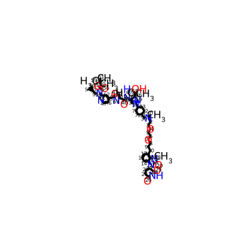 CN(CCOCCOCCCc1cccc2c1n(C)c(=O)n2C1CCC(=O)NC1=O)CC1CCC(n2cc(NC(=O)c3coc(-c4ccnc(N(CC5CC5)C(=O)OC(C)(C)C)c4)n3)c(C(C)(C)O)n2)CC1